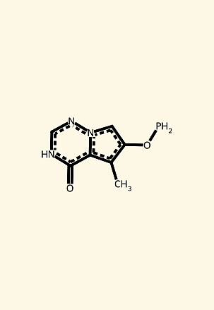 Cc1c(OP)cn2nc[nH]c(=O)c12